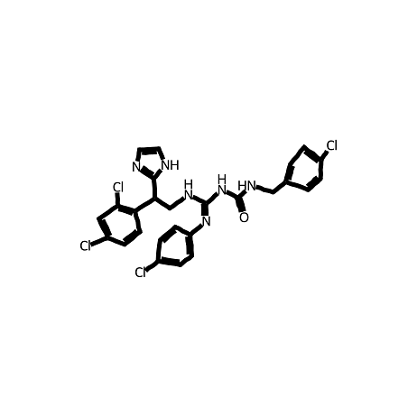 O=C(NCc1ccc(Cl)cc1)NC(=Nc1ccc(Cl)cc1)NCC(c1ncc[nH]1)c1ccc(Cl)cc1Cl